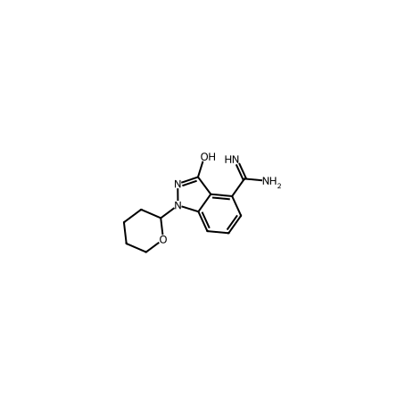 N=C(N)c1cccc2c1c(O)nn2C1CCCCO1